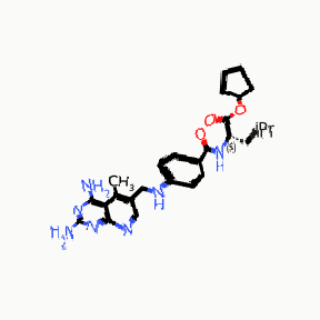 Cc1c(CNc2ccc(C(=O)N[C@@H](CC(C)C)C(=O)OC3CCCC3)cc2)cnc2nc(N)nc(N)c12